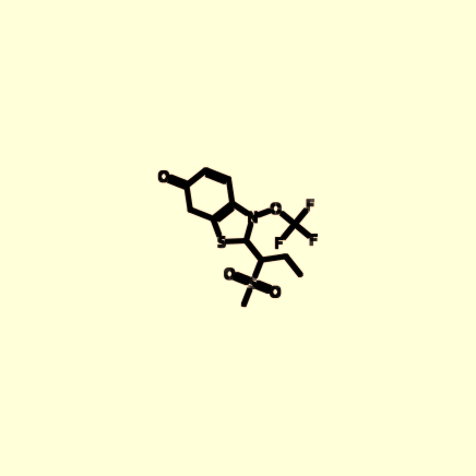 CCC(C1SC2=C(C=CC(=O)C2)N1OC(F)(F)F)S(C)(=O)=O